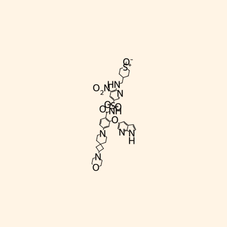 O=C(NS(=O)(=O)c1cnc(NCC2CC[S+]([O-])CC2)c([N+](=O)[O-])c1)c1ccc(N2CCC3(CC2)CC(N2CCOCC2)C3)cc1Oc1cnc2[nH]ccc2c1